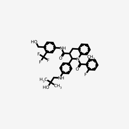 Cc1cccc(F)c1C(=O)N1c2ccccc2CC(C(=O)Nc2ccc(CO)c(C(F)(F)F)c2)C1c1ccc(NCC(C)(C)O)cc1